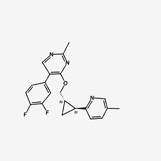 Cc1ccc([C@H]2C[C@@H]2COc2nc(C)ncc2-c2ccc(F)c(F)c2)nc1